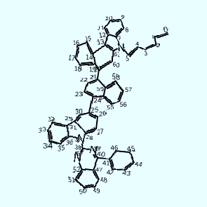 C=C/C=C\C=C\n1c2ccccc2c2c3ccccc3c(-c3ccc(-c4ccc5c(c4)c4ccccc4n5-c4nc(C5=CC=CCC5)c5ccccc5n4)c4ccccc34)cc21